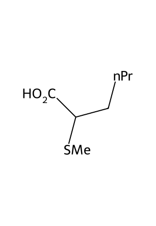 CCCCC(SC)C(=O)O